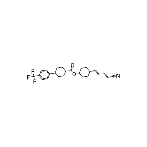 N#CC=CC=C[C@H]1CC[C@H](OC(=O)[C@H]2CC[C@H](c3ccc(C(F)(F)F)cc3)CC2)CC1